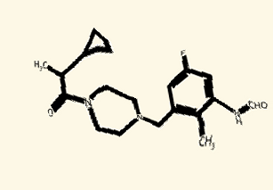 Cc1c(CN2CCN(C(=O)C(C)C3CC3)CC2)cc(F)cc1NC=O